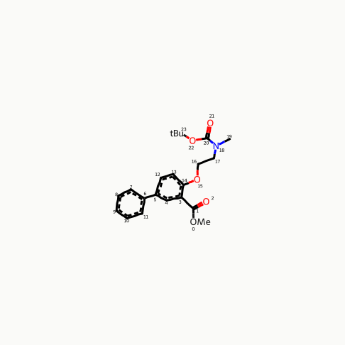 COC(=O)c1cc(-c2ccccc2)ccc1OCCN(C)C(=O)OC(C)(C)C